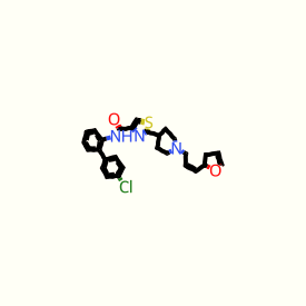 O=C(Nc1ccccc1-c1ccc(Cl)cc1)c1csc(C2CCN(C/C=C\C3CC=CO3)CC2)n1